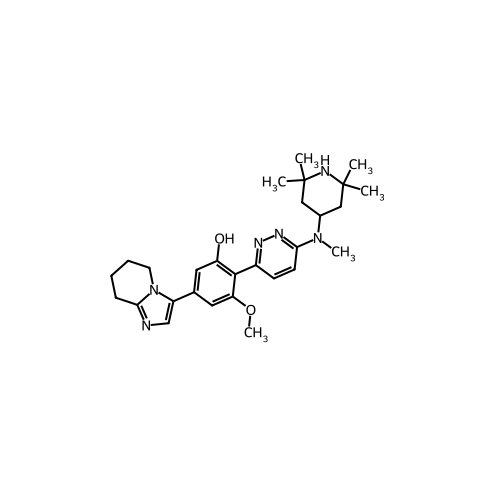 COc1cc(-c2cnc3n2CCCC3)cc(O)c1-c1ccc(N(C)C2CC(C)(C)NC(C)(C)C2)nn1